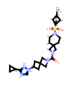 O=C(N1CC2(CCN(S(=O)(=O)C34CC(C(F)(F)F)(C3)C4)CC2)C1)N1CC2(CC(n3cnc(C4CC4)n3)C2)C1